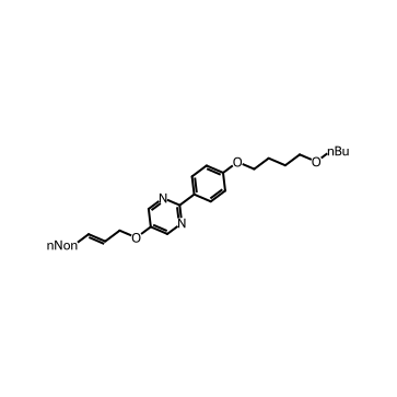 CCCCCCCCCC=CCOc1cnc(-c2ccc(OCCCCOCCCC)cc2)nc1